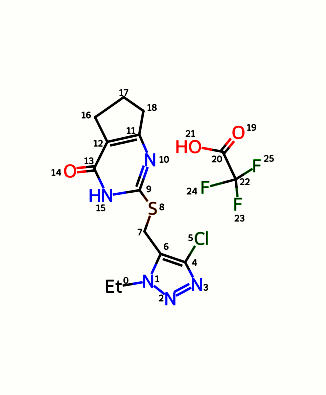 CCn1nnc(Cl)c1CSc1nc2c(c(=O)[nH]1)CCC2.O=C(O)C(F)(F)F